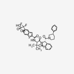 CC(C)(C)C(NC(=O)c1cc2cc(C(F)(F)P(=O)(O)O)ccc2s1)C(=O)N1Cc2ccccc2[C@H]1C(=O)N1CCC[C@H](c2ccccc2)C1